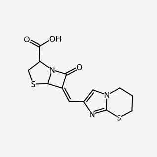 O=C(O)C1CSC2C(=Cc3cn4c(n3)SCCC4)C(=O)N12